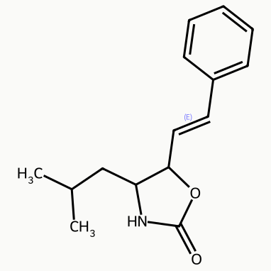 CC(C)CC1NC(=O)OC1/C=C/c1ccccc1